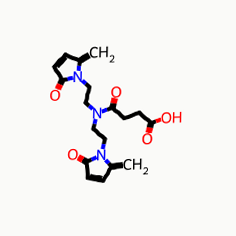 C=C1C=CC(=O)N1CCN(CCN1C(=C)C=CC1=O)C(=O)CCC(=O)O